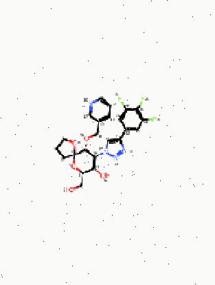 OC[C@H]1O[C@@]2(CCCO2)[C@H](OCc2cccnc2)[C@@H](n2cc(-c3cc(F)c(F)c(F)c3)nn2)[C@H]1O